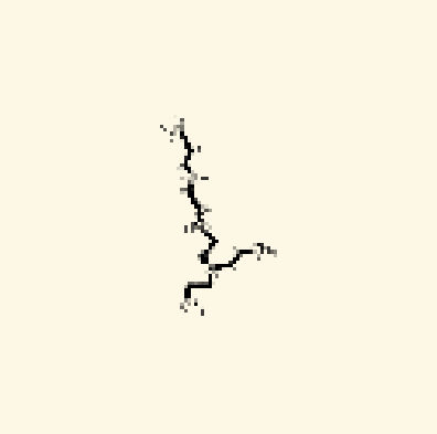 CCCN(CCC)CCNCCNCCN